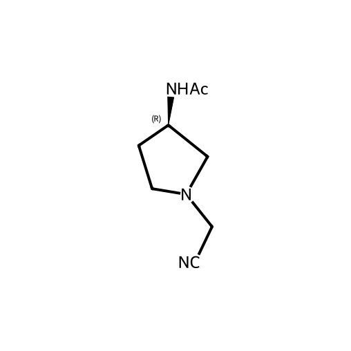 CC(=O)N[C@@H]1CCN(CC#N)C1